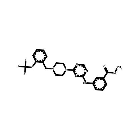 CNC(=O)c1cccc(Nc2ncnc(N3CCN(Cc4ccccc4OC(F)(F)F)CC3)n2)c1